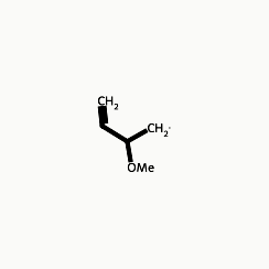 [CH2]C(C=C)OC